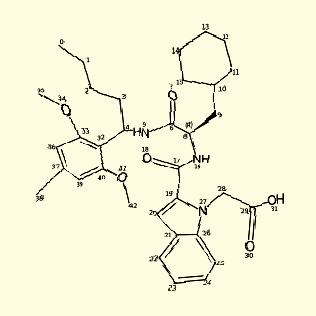 CCCCC(NC(=O)[C@@H](CC1CCCCC1)NC(=O)c1cc2ccccc2n1CC(=O)O)c1c(OC)cc(C)cc1OC